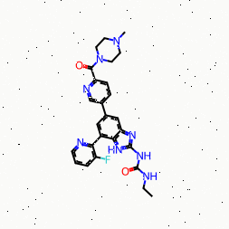 CCNC(=O)Nc1nc2cc(-c3ccc(C(=O)N4CCN(C)CC4)nc3)cc(-c3ncccc3F)c2[nH]1